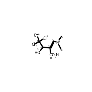 CCC(Cl)(Cl)C(O)C(=CN(C)C)C(=O)O